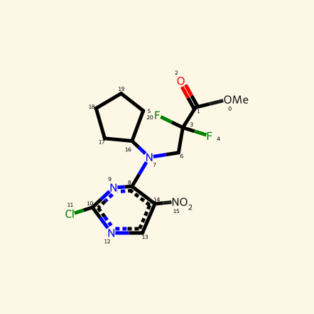 COC(=O)C(F)(F)CN(c1nc(Cl)ncc1[N+](=O)[O-])C1CCCC1